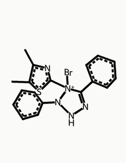 Cc1nc([N+]2(Br)C(c3ccccc3)=NNN2c2ccccc2)sc1C